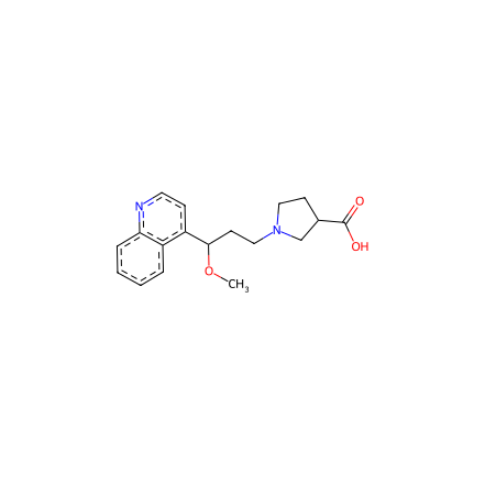 COC(CCN1CCC(C(=O)O)C1)c1ccnc2ccccc12